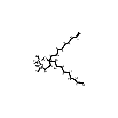 C=CCCCCCCCC1(CCCCCCCC=C)CC[Si](C)(C)[Si](C)(C)O1